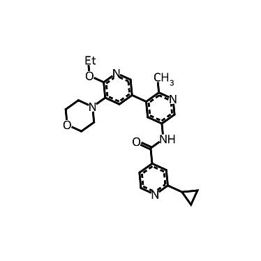 CCOc1ncc(-c2cc(NC(=O)c3ccnc(C4CC4)c3)cnc2C)cc1N1CCOCC1